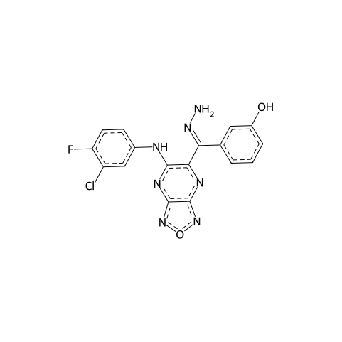 N/N=C(\c1cccc(O)c1)c1nc2nonc2nc1Nc1ccc(F)c(Cl)c1